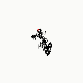 Cc1cc(C)c(S(=O)(=O)N(c2ccccc2)C(CNC(=O)COC2CC(CNc3ccccn3)N(C(=O)NC3CCCCC3)C2)C(=O)O)c(C)c1